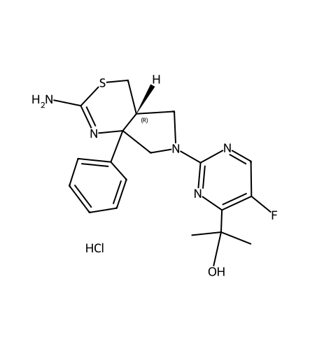 CC(C)(O)c1nc(N2C[C@H]3CSC(N)=NC3(c3ccccc3)C2)ncc1F.Cl